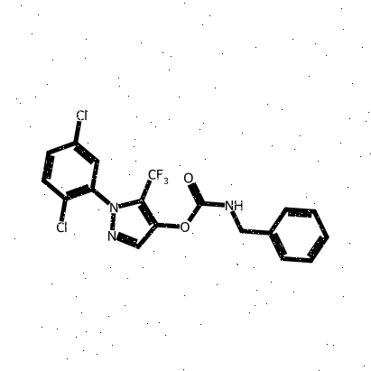 O=C(NCc1ccccc1)Oc1cnn(-c2cc(Cl)ccc2Cl)c1C(F)(F)F